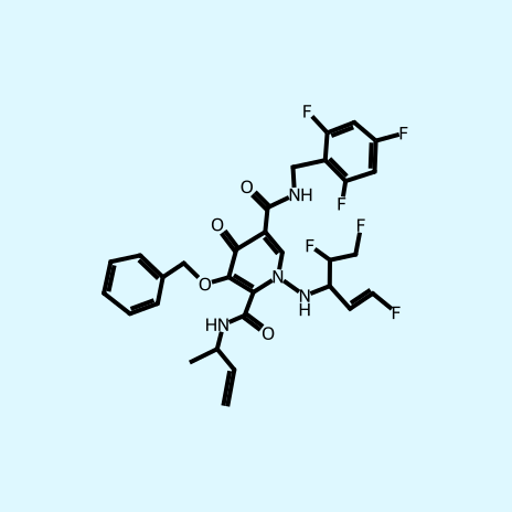 C=CC(C)NC(=O)c1c(OCc2ccccc2)c(=O)c(C(=O)NCc2c(F)cc(F)cc2F)cn1NC(C=CF)C(F)CF